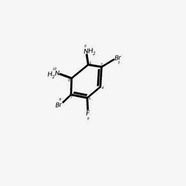 NC1C(Br)=CC(F)=C(Br)C1N